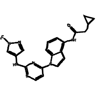 Cn1cc(Nc2nccc(-n3ccc4c(NC(=O)CC5CC5)cccc43)n2)cn1